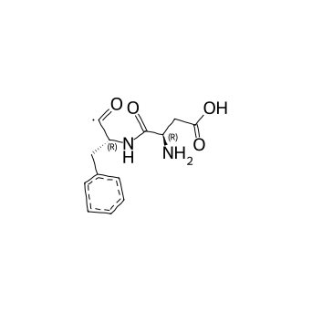 N[C@H](CC(=O)O)C(=O)N[C@@H]([C]=O)Cc1ccccc1